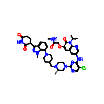 CNC(=O)COc1cc2cc(Nc3nc(N4CCN(CC5CCN(c6cccc7c(C8CCC(=O)NC8=O)nn(C)c67)CC5)[C@@H](C)C4)ncc3Cl)cnc2n(C(C)C)c1=O